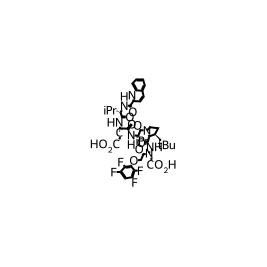 CC(C)[C@H](NC(=O)c1ccc2ccccc2n1)C(=O)N[C@@H](CCC(=O)O)C(=O)N[C@H](C(=O)N1CC[C@@H](CC(C)(C)C)C1C(=O)NN(CC(=O)O)C(=O)COc1c(F)c(F)cc(F)c1F)C(C)C